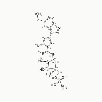 CCc1ccc2scc(-c3cc4nccc(N[C@@H]5C[C@H](COS(N)(=O)=O)[C@@](C)(O)[C@H]5O)n4n3)c2c1